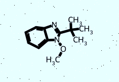 COn1c(C(C)(C)C)nc2ccccc21